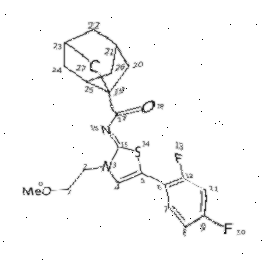 COCCn1cc(-c2ccc(F)cc2F)s/c1=N\C(=O)C12CC3CC(CC1C3)C2